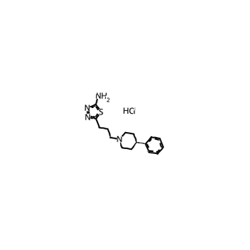 Cl.Nc1nnc(CCCN2CCC(c3ccccc3)CC2)s1